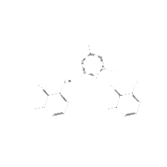 CC(=O)c1cc(C(F)(F)F)cc(C(C)=O)n1.CC(C)C1=CC=CC(C(C)C)C1=N.CC(C)C1=CC=CC(C(C)C)C1=N.[Cl-].[Cl-].[Fe+2]